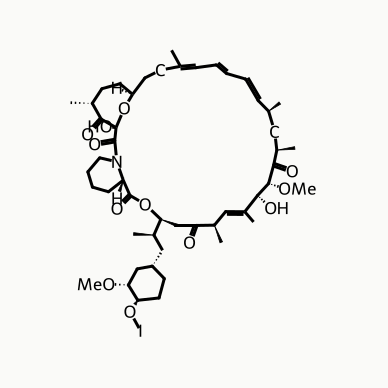 CO[C@@H]1C[C@H](C[C@@H](C)[C@@H]2CC(=O)[C@H](C)/C=C(\C)[C@@H](O)[C@@H](OC)C(=O)[C@H](C)C[C@H](C)/C=C/C=C/C=C(\C)CC[C@@H]3CC[C@@H](C)C(=O)C(O)(O3)C(=O)N3CCCC[C@H]3C(=O)O2)CC[C@H]1OI